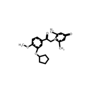 COc1ccc(C(=O)Cn2c(C)cc(=O)cc2C)cc1OC1CCCC1